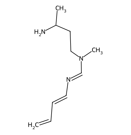 C=C/C=C/N=C/N(C)CCC(C)N